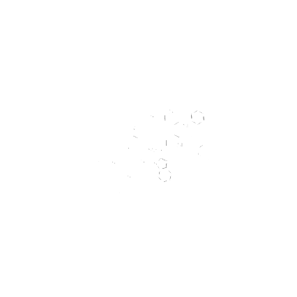 CNC(=O)[C@H](Cc1c[nH]c2ccccc12)NC(=O)[C@H](CCC(N)=O)NC(=O)[C@@H](Cc1ccccc1)NC(=O)CN1CCC(NC(=O)CN2CCN(CC(=O)O)CCN(CC(=O)O)CCN(CC(=O)O)CC2)CC1